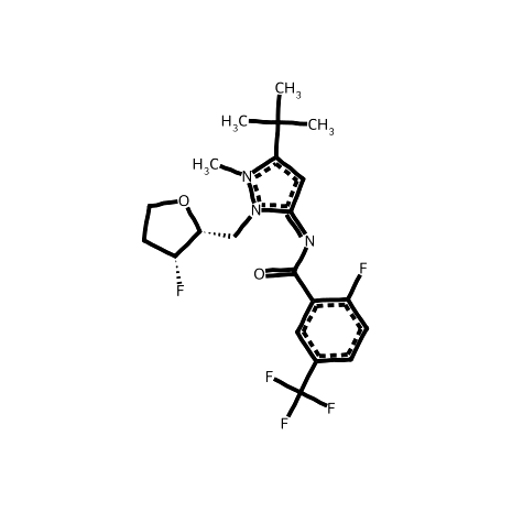 Cn1c(C(C)(C)C)c/c(=N/C(=O)c2cc(C(F)(F)F)ccc2F)n1C[C@H]1OCC[C@H]1F